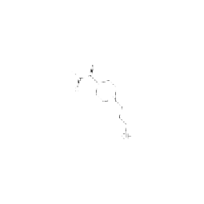 C=C(C(C)=O)C1CCN(CCCO)CC1